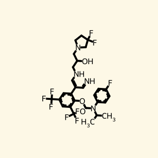 CC(C)N(C(=O)Oc1c(/C(C=N)=C/NCC(O)CN2CCC(F)(F)C2)cc(C(F)(F)F)cc1C(F)(F)F)c1ccc(F)cc1